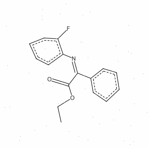 CCOC(=O)C(=Nc1ccccc1F)c1ccccc1